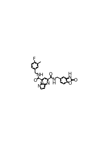 Cc1cc(CNC(=O)c2cc(C(=O)NCc3ccc4oc(=O)[nH]c4c3)nc3ccnn23)ccc1F